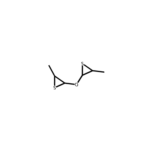 CC1SC1OC1SC1C